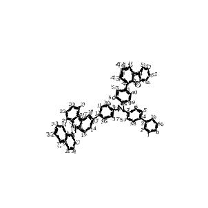 c1ccc(-c2ccc(N(c3ccc(-c4ccc5c(c4)c4ccccc4n5-c4cccc5ccccc45)cc3)c3ccc(-c4cccc5c4oc4ccccc45)cc3)cc2)cc1